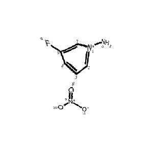 N[n+]1cccc(F)c1.O=[N+]([O-])[O-]